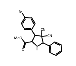 COC(=O)C1NC(c2ccccc2)C(C#N)(C#N)C1c1ccc(Br)cc1